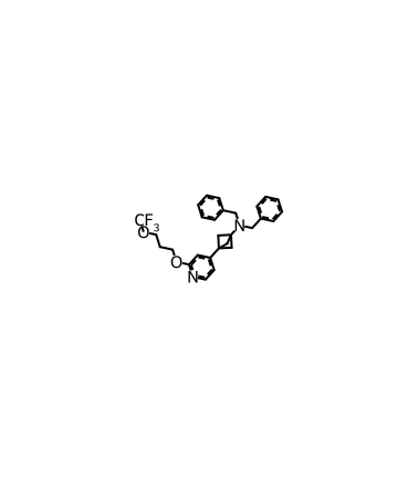 FC(F)(F)OCCCOc1cc(C23CC(N(Cc4ccccc4)Cc4ccccc4)(C2)C3)ccn1